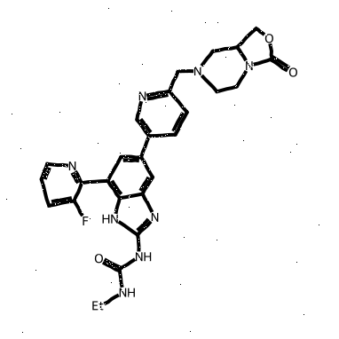 CCNC(=O)Nc1nc2cc(-c3ccc(CN4CCN5C(=O)OCC5C4)nc3)cc(-c3ncccc3F)c2[nH]1